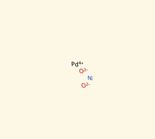 [N].[O-2].[O-2].[Pd+4]